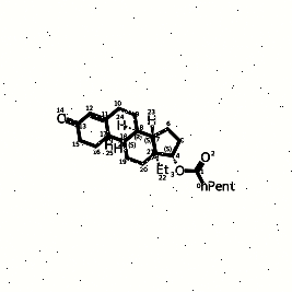 CCCCCC(=O)O[C@H]1CC[C@H]2[C@@H]3CCC4=CC(=O)CC[C@@H]4[C@H]3CC[C@]12CC